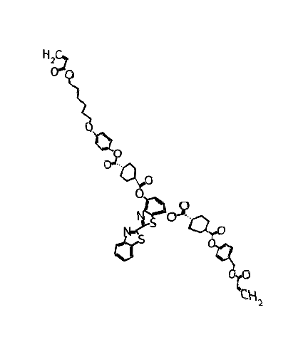 C=CC(=O)OCCCCCCOc1ccc(OC(=O)[C@H]2CC[C@H](C(=O)Oc3ccc(OC(=O)[C@H]4CC[C@H](C(=O)Oc5ccc(COC(=O)C=C)cc5)CC4)c4sc(-c5nc6ccccc6s5)nc34)CC2)cc1